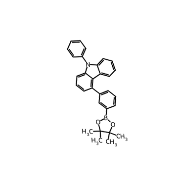 CC1(C)OB(c2cccc(-c3cccc4c3c3ccccc3n4-c3ccccc3)c2)OC1(C)C